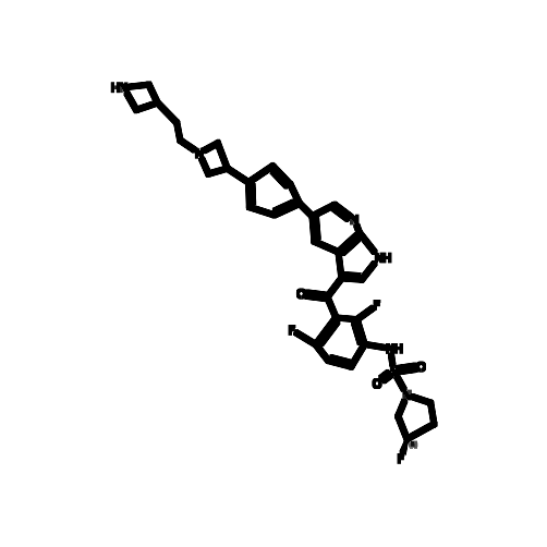 O=C(c1c(F)ccc(NS(=O)(=O)N2CC[C@@H](F)C2)c1F)c1c[nH]c2ncc(-c3ccc(C4CN(CCC5CNC5)C4)cc3)cc12